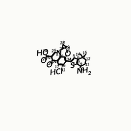 COc1c(-c2cc3c(s2)C(N)CCC3(C)C)ccc2c(=O)c(C(=O)O)cn(C3CC3)c12.Cl